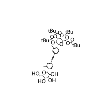 Cc1cc(C#Cc2ccc([C@H]3O[C@H](COC(=O)C(C)(C)C)[C@@H](OC(=O)C(C)(C)C)[C@H](OC(=O)C(C)(C)C)[C@@H]3OC(=O)C(C)(C)C)c(C)c2)ccc1[C@H]1O[C@H](CO)[C@@H](O)[C@H](O)[C@@H]1O